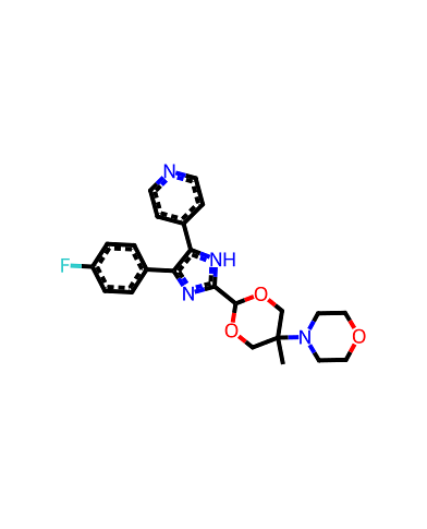 CC1(N2CCOCC2)COC(c2nc(-c3ccc(F)cc3)c(-c3ccncc3)[nH]2)OC1